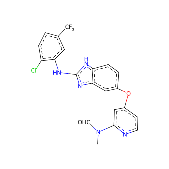 CN(C=O)c1cc(Oc2ccc3[nH]c(Nc4cc(C(F)(F)F)ccc4Cl)nc3c2)ccn1